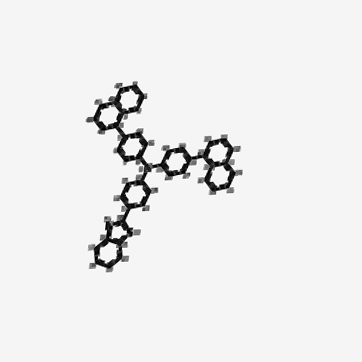 c1ccc2c(-c3ccc(N(c4ccc(-c5nc6ccccc6s5)cc4)c4ccc(-c5cccc6ccccc56)cc4)cc3)cccc2c1